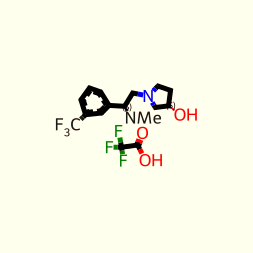 CN[C@H](CN1CC[C@H](O)C1)c1cccc(C(F)(F)F)c1.O=C(O)C(F)(F)F